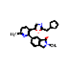 Cc1ccc(-c2cnc(CC3CCCC3)o2)c(-c2ccc3c(c2)C(=O)N(C)C3)n1